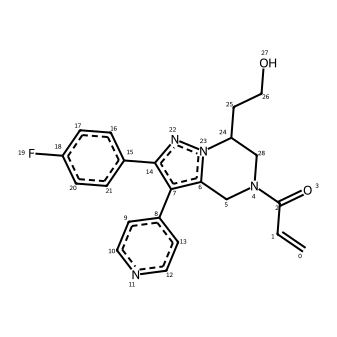 C=CC(=O)N1Cc2c(-c3ccncc3)c(-c3ccc(F)cc3)nn2C(CCO)C1